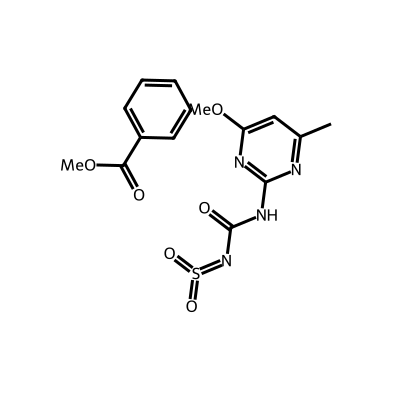 COC(=O)c1ccccc1.COc1cc(C)nc(NC(=O)N=S(=O)=O)n1